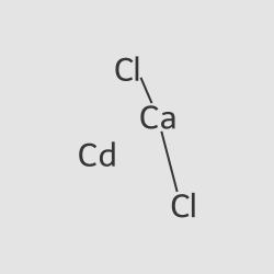 [Cd].[Cl][Ca][Cl]